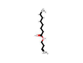 C=CCCOC(=O)CCCCCCC